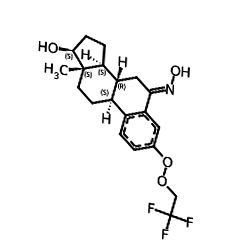 C[C@]12CC[C@@H]3c4ccc(OOCC(F)(F)F)cc4C(=NO)C[C@H]3[C@@H]1CC[C@@H]2O